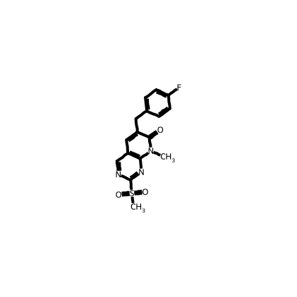 Cn1c(=O)c(Cc2ccc(F)cc2)cc2cnc(S(C)(=O)=O)nc21